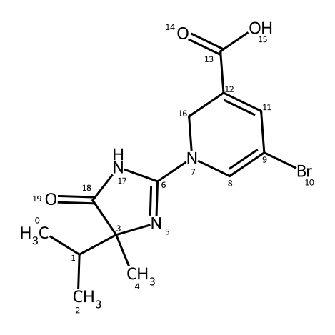 CC(C)C1(C)N=C(N2C=C(Br)C=C(C(=O)O)C2)NC1=O